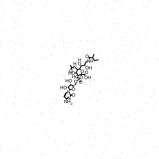 CCC(C)C(=O)NCC(O)C(O)C1OC(OP(=O)(O)OC[C@H]2O[C@@H](n3ccc(N)nc3=O)[C@H](O)[C@@H]2O)(C(=O)O)CC(O)C1NC(C)=O